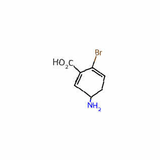 NC1C=C(C(=O)O)C(Br)=CC1